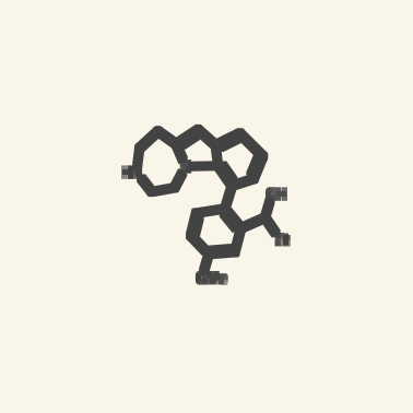 CCC(O)c1cc(OC)ccc1-c1cccc2cc3n(c12)CCNCC3